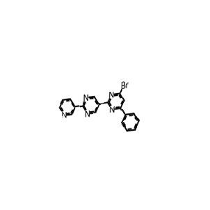 Brc1cc(-c2ccccc2)nc(-c2cnc(-c3cccnc3)nc2)n1